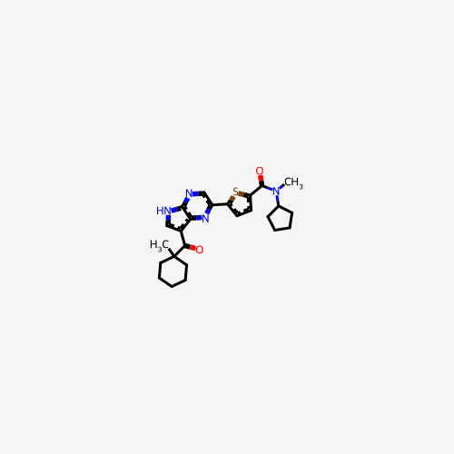 CN(C(=O)c1ccc(-c2cnc3[nH]cc(C(=O)C4(C)CCCCC4)c3n2)s1)C1CCCC1